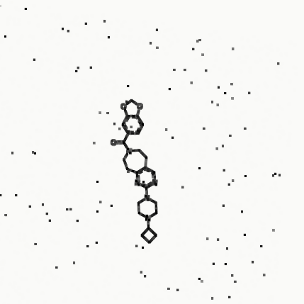 O=C(c1ccc2c(c1)OCO2)N1CCc2cnc(N3CCN(C4CCC4)CC3)nc2CC1